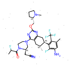 Cc1cc(N)c(F)c([C@@H]2Cc3nc(OC[C@@H]4CCCN4C)nc(N4CCN(C(=O)C(C)F)[C@H](CC#N)C4)c3C[C@H]2C)c1C(F)(F)F